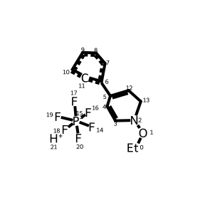 CCON1C=CC(c2ccccc2)=CC1.F[P-](F)(F)(F)(F)F.[H+]